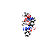 C[C@@H](NC(=O)N1C(=O)C(Cc2ccnc(N(C(=O)OC(C)(C)C)C(=O)OC(C)(C)C)c2)C1(C)C)c1ccccc1